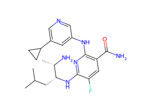 CC(C)C[C@@H](Nc1nc(Nc2cncc(C3CC3)c2)c(C(N)=O)cc1F)[C@H](C)N